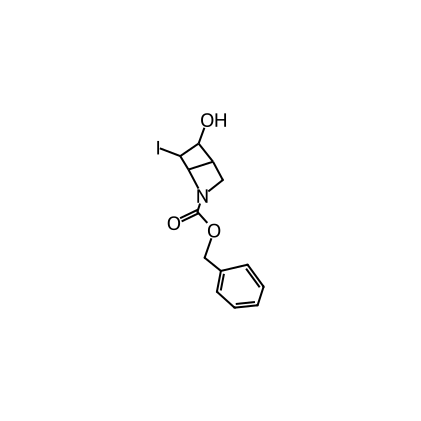 O=C(OCc1ccccc1)N1CC2C(O)C(I)C21